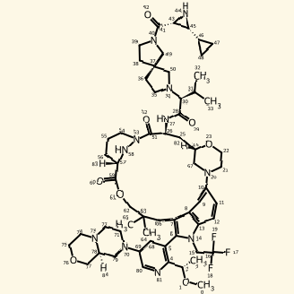 CO[C@@H](C)C1=C(c2c3c4cc(ccc4n2CC(F)(F)F)N2CCO[C@@H](C[C@H](NC(=O)[C@H](C(C)C)N4CC[C@]5(CCN(C(=O)[C@@H]6N[C@@H]6C6CC6)C5)C4)C(=O)N4CCC[C@H](N4)C(=O)OCC(C)(C)C3)C2)CC(N2CCN3CCOC[C@@H]3C2)C=N1